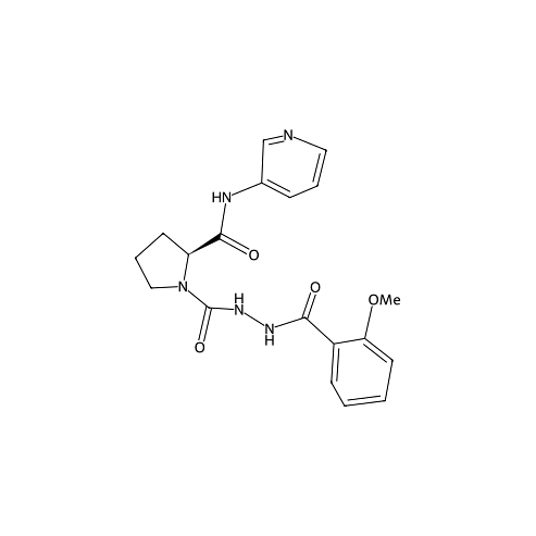 COc1ccccc1C(=O)NNC(=O)N1CCC[C@H]1C(=O)Nc1cccnc1